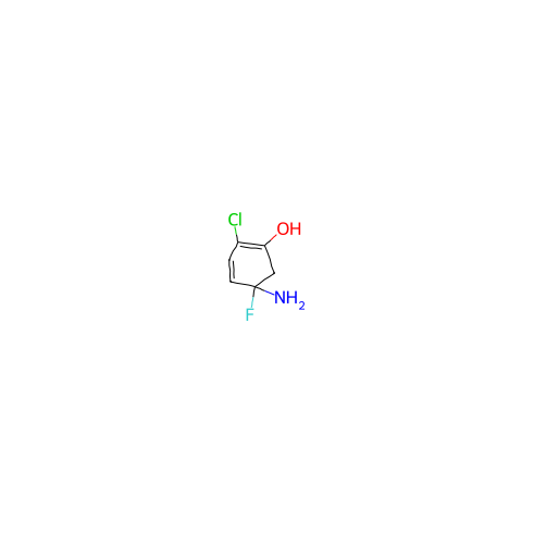 NC1(F)C=CC(Cl)=C(O)C1